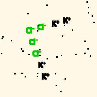 [Cl-].[Cl-].[Cl-].[Cl-].[K+].[K+].[K+].[K+]